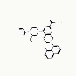 C=CC(=O)N1CCN(c2nc(C(=O)OC)nc3c2CCN(c2cccc4cccc(C)c24)C3)CC1CC#N